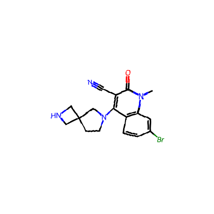 Cn1c(=O)c(C#N)c(N2CCC3(CNC3)C2)c2ccc(Br)cc21